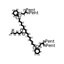 CCCCCC(CCCCC)CCOC1(OCCCCCCCC(CCCCCCCOC2(OCCC(CCCCC)CCCCC)CCCCC2)OC(=O)CCCN(C)C)CCCCC1